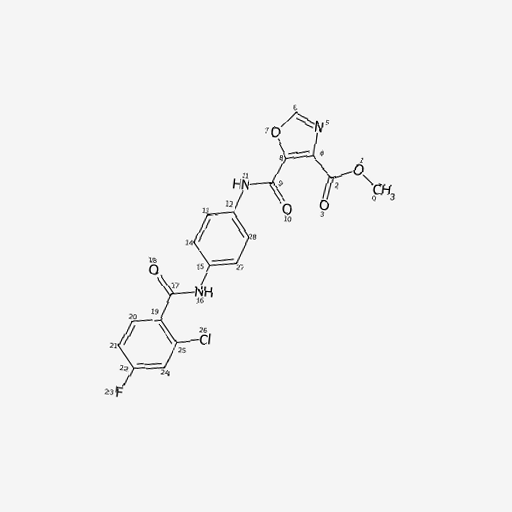 COC(=O)c1ncoc1C(=O)Nc1ccc(NC(=O)c2ccc(F)cc2Cl)cc1